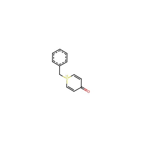 O=C1C=C[SH](Cc2ccccc2)C=C1